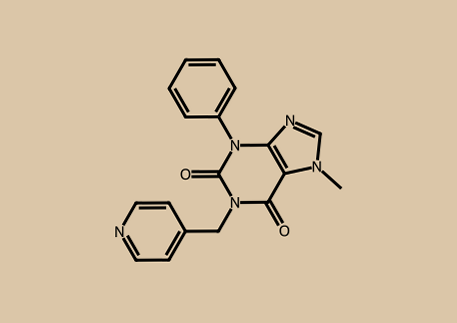 Cn1cnc2c1c(=O)n(Cc1ccncc1)c(=O)n2-c1ccccc1